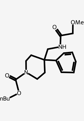 CCCCOC(=O)N1CCC(CNC(=O)COC)(c2ccccc2)CC1